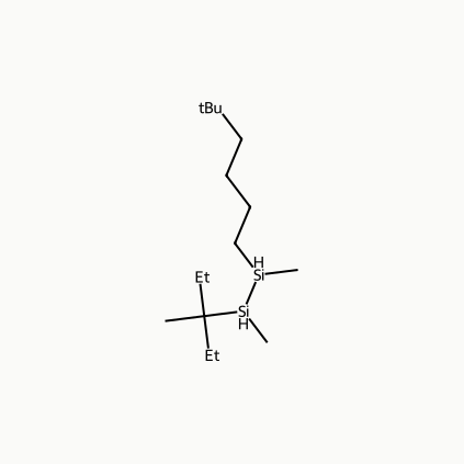 CCC(C)(CC)[SiH](C)[SiH](C)CCCCC(C)(C)C